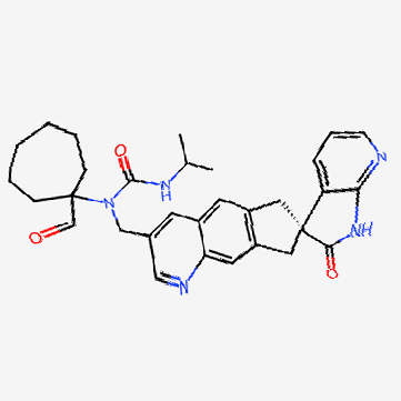 CC(C)NC(=O)N(Cc1cnc2cc3c(cc2c1)C[C@@]1(C3)C(=O)Nc2ncccc21)C1(C=O)CCCCCC1